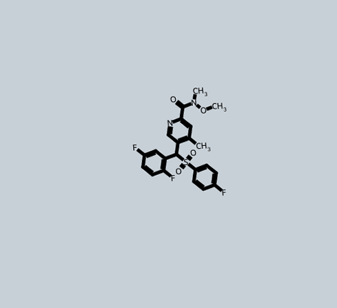 CON(C)C(=O)c1cc(C)c(C(c2cc(F)ccc2F)S(=O)(=O)c2ccc(F)cc2)cn1